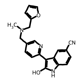 CN(Cc1ccc(-c2c(O)[nH]c3ccc(C#N)cc23)nc1)Cc1ccco1